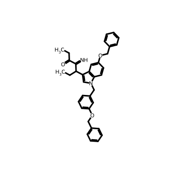 CCC(=O)C(=N)C(CC)c1cn(Cc2cccc(OCc3ccccc3)c2)c2ccc(OCc3ccccc3)cc12